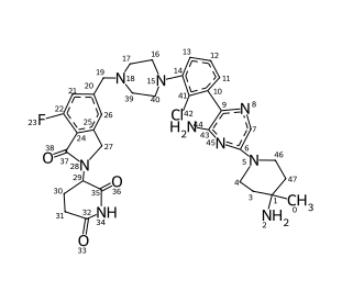 CC1(N)CCN(c2cnc(-c3cccc(N4CCN(Cc5cc(F)c6c(c5)CN(C5CCC(=O)NC5=O)C6=O)CC4)c3Cl)c(N)n2)CC1